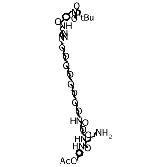 CC(=O)OCc1ccc(NC(=O)C(CCCCN)NC(=O)COCC(=O)NCCOCCOCCOCCOCCOCCOCCOCCOCCn2cc(CNC(=O)C3CCC(CN4C(=O)CC(C(C)(C)C)C4=O)CC3)nn2)cc1